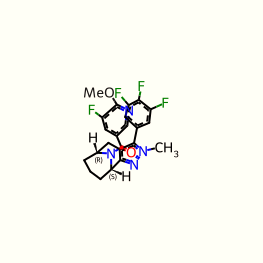 COc1ncc(C(=O)N2[C@@H]3CCC[C@H]2c2nn(C)c(-c4cc(F)c(F)c(F)c4)c2C3)cc1F